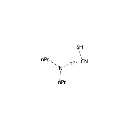 CCCN(CCC)CCC.N#CS